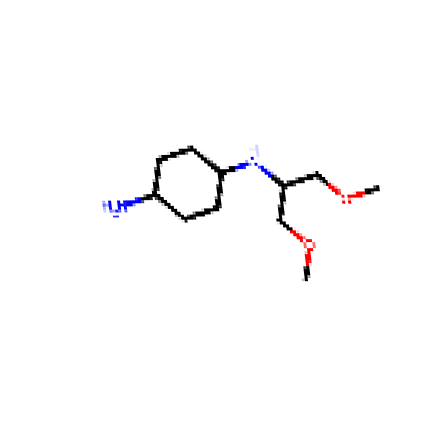 COCC(COC)NC1CCC(N)CC1